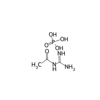 CC(=O)NC(=N)N.O=P(O)(O)O